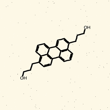 OCCCc1ccc2c3cccc4c(CCCO)ccc(c5cccc1c52)c43